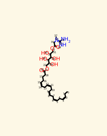 CC/C=C\C/C=C\C/C=C\C/C=C\C/C=C\CCCC(=O)OC[C@@H](O)[C@@H](O)[C@H](O)[C@H](O)COC(=O)CN(C)C(=N)N